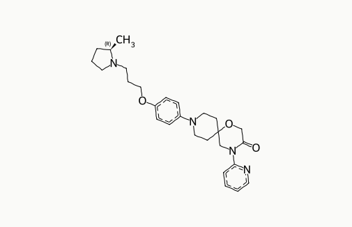 C[C@@H]1CCCN1CCCOc1ccc(N2CCC3(CC2)CN(c2ccccn2)C(=O)CO3)cc1